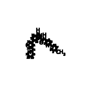 CC1CCN(c2ccc(NC(=O)c3n[nH]c4ccc(-c5cncc(CN6CCCCC6)c5)cc34)cn2)CC1